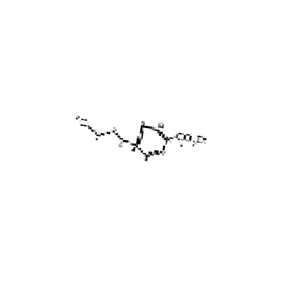 CCOC(=O)c1ccc(CCC[O])cc1